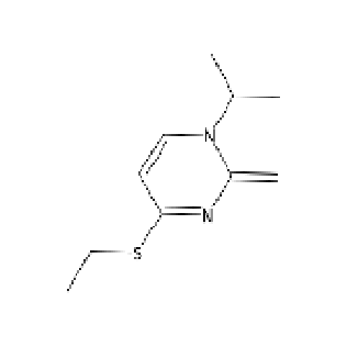 C=C1N=C(SCC)C=CN1C(C)C